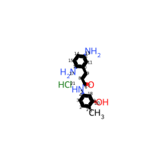 Cc1ccc(NC(=O)C=Cc2cc(N)ccc2N)cc1O.Cl